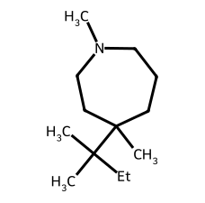 CCC(C)(C)C1(C)CCCN(C)CC1